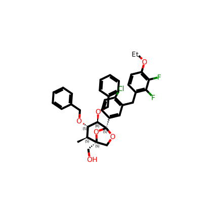 CCOc1ccc(Cc2cc([C@]34OC[C@](CO)(O3)[C@@H](C)[C@H](OCc3ccccc3)[C@H]4OCc3ccccc3)ccc2Cl)c(F)c1F